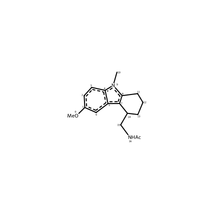 COc1ccc2c(c1)c1c(n2C)CCCC1CNC(C)=O